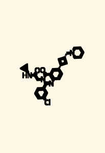 O=C(Cn1c(-c2cccc(Cl)c2)nc2ccc([C@H]3C[C@@H](CN4CCCCC4)C3)cc2c1=O)NC1CC1